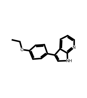 CCOc1ccc(-c2c[nH]c3ncccc23)cc1